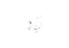 N#Cc1ccc(-c2c(C#N)c(-n3c4ccccc4c4ccccc43)c(-n3c4ccccc4c4cc5ccccc5cc43)c(-n3c4ccccc4c4ccccc43)c2C#N)cc1